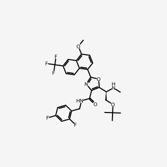 CN[C@@H](COC(C)(C)C)c1oc(-c2ccc(OC)c3cc(C(F)(F)F)ccc23)nc1C(=O)NCc1ccc(F)cc1F